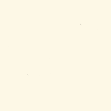 Cc1cc(-c2ccc(OC3CN(Cc4ccc(Oc5ccccc5)cc4)C3)cc2)ccn1